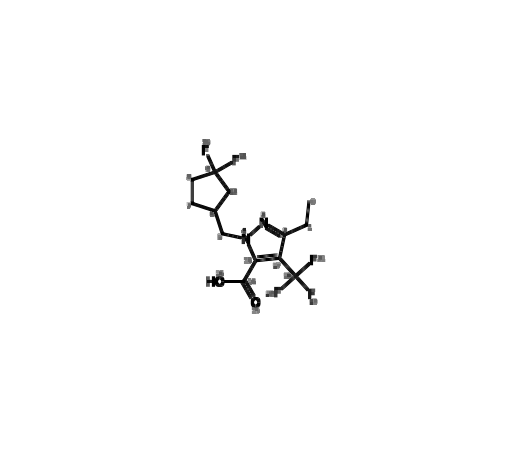 CCc1nn(CC2CCC(F)(F)C2)c(C(=O)O)c1C(F)(F)F